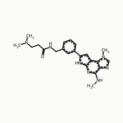 CNc1nc2[nH]c(-c3cccc(CNC(=O)CCN(C)C)c3)cc2c2c1ncn2C